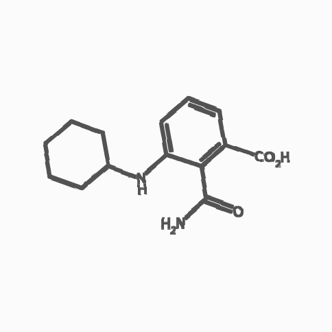 NC(=O)c1c(NC2CCCCC2)cccc1C(=O)O